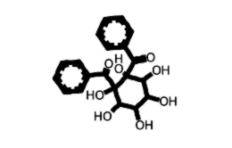 O=C(c1ccccc1)C1(O)C(O)C(O)C(O)C(O)C1(O)C(=O)c1ccccc1